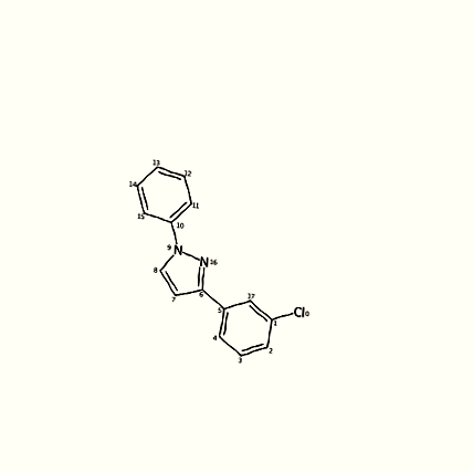 Clc1cccc(-c2ccn(-c3ccccc3)n2)c1